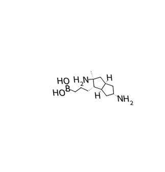 C[C@]1(N)C[C@H]2C[C@H](N)C[C@H]2[C@@H]1CCCB(O)O